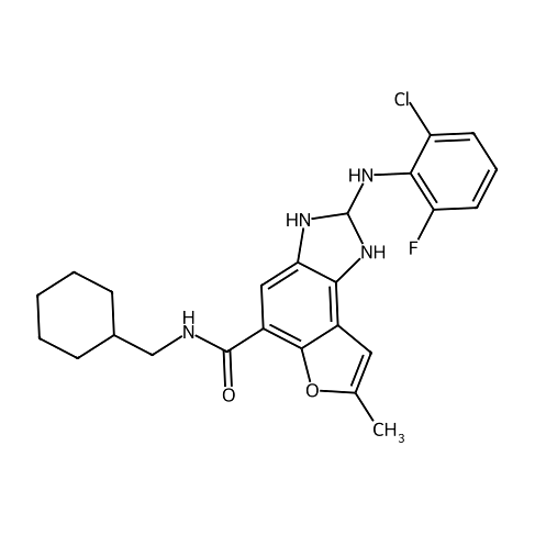 Cc1cc2c3c(cc(C(=O)NCC4CCCCC4)c2o1)NC(Nc1c(F)cccc1Cl)N3